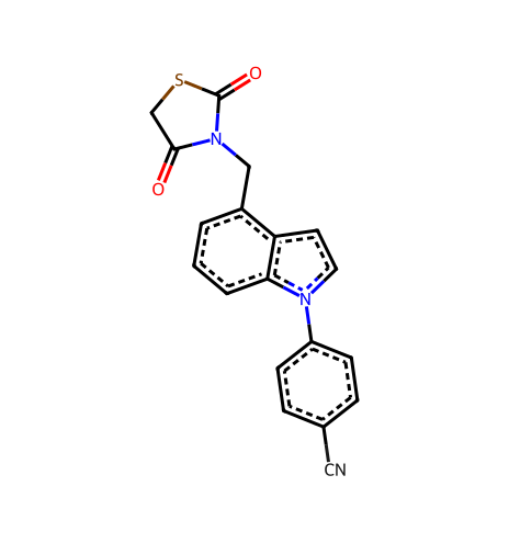 N#Cc1ccc(-n2ccc3c(CN4C(=O)CSC4=O)cccc32)cc1